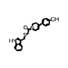 O=C(CSCc1c[nH]c2ccccc12)N1CC=C(c2ccc(O)cc2)CC1